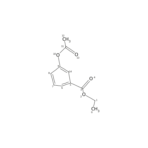 CCOC(=O)c1cccc(OC(C)=O)c1